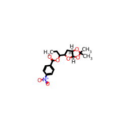 CCC(OC(=O)c1ccc([N+](=O)[O-])cc1)C1C[C@H]2OC(C)(C)O[C@H]2O1